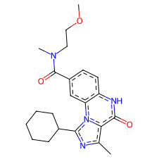 COCCN(C)C(=O)c1ccc2[nH]c(=O)c3c(C)nc(C4CCCCC4)n3c2c1